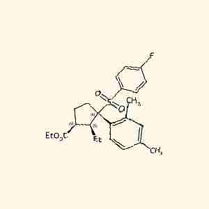 CCOC(=O)[C@H]1CC[C@](c2ccc(C)cc2C)(S(=O)(=O)c2ccc(F)cc2)[C@H]1CC